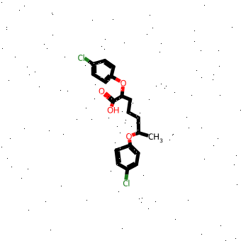 CC(CCCC(Oc1ccc(Cl)cc1)C(=O)O)Oc1ccc(Cl)cc1